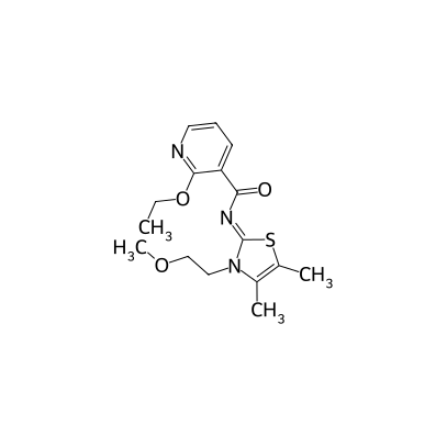 CCOc1ncccc1C(=O)N=c1sc(C)c(C)n1CCOC